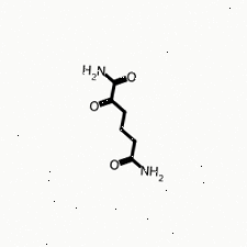 NC(=O)CCCC(=O)C(N)=O